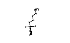 C#CC(C)(C)CCCCC([CH2])C